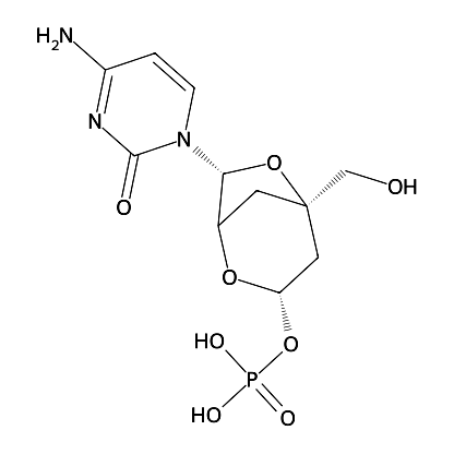 Nc1ccn([C@@H]2O[C@]3(CO)CC2O[C@@H](OP(=O)(O)O)C3)c(=O)n1